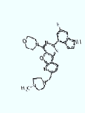 CN1CCN(Cc2ccc3c(n2)oc2c(N4CCOCC4)nc(-c4cc(F)cc5[nH]ccc45)nc23)CC1